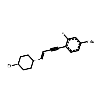 CCCCc1ccc(C#C/C=C/[C@H]2CC[C@H](CC)CC2)c(F)c1